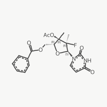 CC(=O)O[C@]1(C)[C@@H](COC(=O)c2ccccc2)O[C@H](n2ccc(=O)[nH]c2=O)[C@]1(C)F